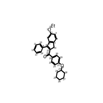 CCOc1ccc2c(c1)C(c1ccccc1)=C(C(=O)c1ccc(OC3CCCCC3)cc1)C2